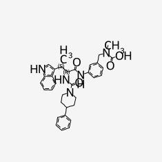 C[C@@H](c1c[nH]c2ccccc12)[C@@H](NC(=O)N1CCC(c2ccccc2)CC1)C(=O)Nc1cccc(CN(C)C(=O)O)c1